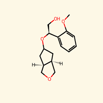 COc1ccccc1[C@H](CO)OC1C[C@H]2COC[C@H]2C1